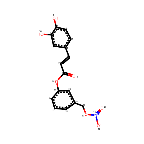 O=C(C=Cc1ccc(O)c(O)c1)Oc1cccc(CO[N+](=O)[O-])c1